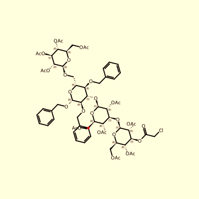 CC(=O)OC[C@H]1O[C@@H](OC[C@H]2O[C@@H](OCc3ccccc3)[C@H](OCc3ccccc3)[C@@H](O[C@@H]3O[C@H](COC(C)=O)[C@@H](OC(C)=O)[C@H](O[C@@H]4O[C@H](COC(C)=O)[C@@H](OC(C)=O)[C@H](OC(=O)CCl)[C@H]4OC(C)=O)[C@H]3OC(C)=O)[C@@H]2OCc2ccccc2)[C@H](OC(C)=O)[C@@H](OC(C)=O)[C@@H]1OC(C)=O